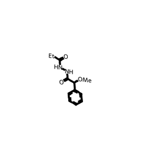 CCC(=O)NNC(=O)C(OC)c1ccccc1